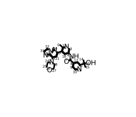 Cc1ncc(NC(=O)c2ccnc(C(C)(C)O)c2)cc1-c1cc(N2CCOCC2)c2nccn2n1